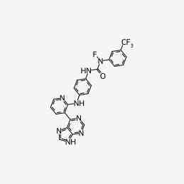 O=C(Nc1ccc(Nc2ncccc2-c2ncnc3[nH]cnc23)cc1)N(F)c1cccc(C(F)(F)F)c1